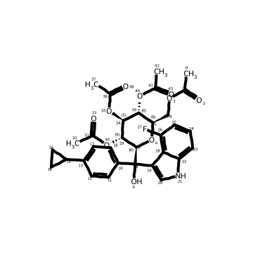 CC(=O)OC[C@H]1O[C@@H](C(O)(c2ccc(C3CC3)cc2)c2c[nH]c3cccc(F)c23)[C@H](OC(C)=O)[C@@H](OC(C)=O)[C@@H]1OC(C)=O